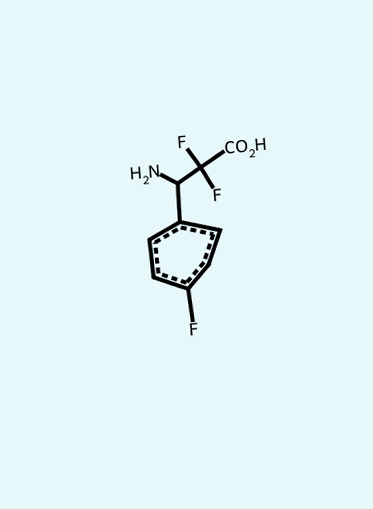 NC(c1ccc(F)cc1)C(F)(F)C(=O)O